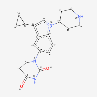 O=C1CCN(c2ccc3c(c2)c(C2CC2)cn3C2CCNCC2)C(=O)N1